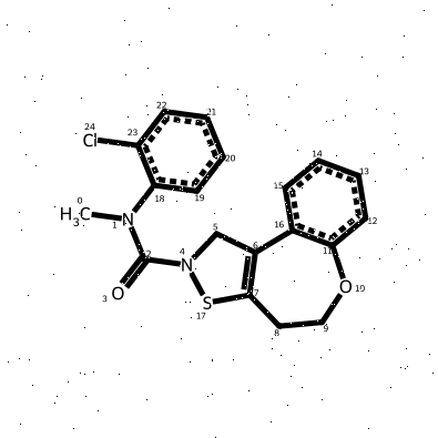 CN(C(=O)N1CC2=C(CCOc3ccccc32)S1)c1ccccc1Cl